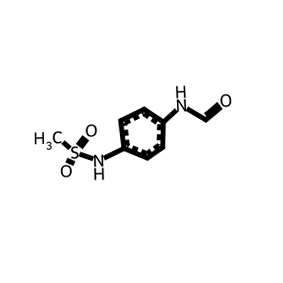 CS(=O)(=O)Nc1ccc(NC=O)cc1